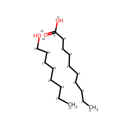 CCCCCCCCCC(=O)O.CCCCCCCCO